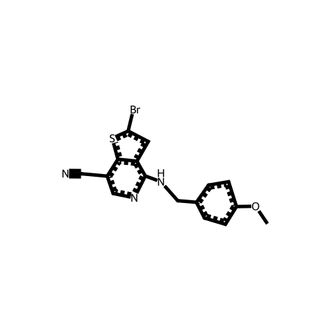 COc1ccc(CNc2ncc(C#N)c3sc(Br)cc23)cc1